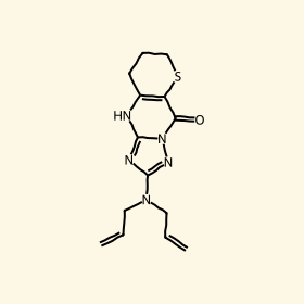 C=CCN(CC=C)c1nc2[nH]c3c(c(=O)n2n1)SCCC3